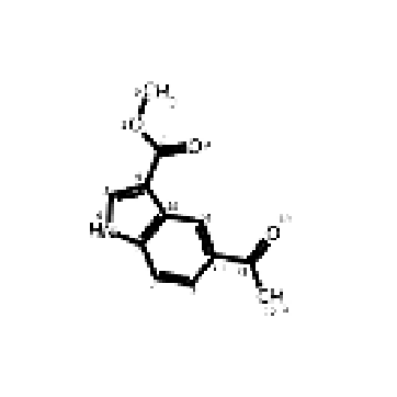 COC(=O)c1c[nH]c2ccc(C(C)=O)cc12